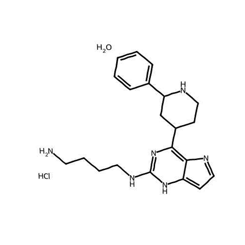 Cl.NCCCCNc1nc(C2CCNC(c3ccccc3)C2)c2nccc-2[nH]1.O